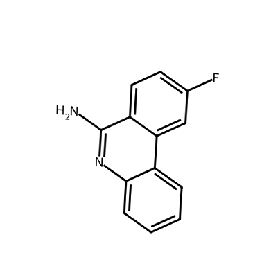 Nc1nc2ccccc2c2cc(F)ccc12